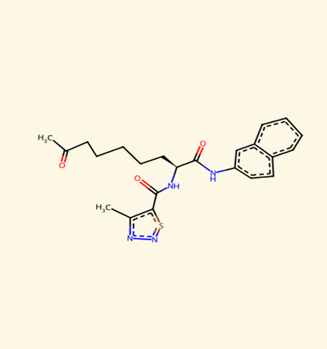 CC(=O)CCCCC[C@H](NC(=O)c1snnc1C)C(=O)Nc1ccc2ccccc2c1